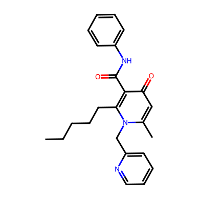 CCCCCc1c(C(=O)Nc2ccccc2)c(=O)cc(C)n1Cc1ccccn1